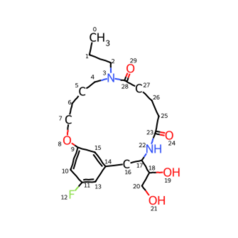 CCCN1CCCCOc2cc(F)cc(c2)CC(C(O)CO)NC(=O)CCCC1=O